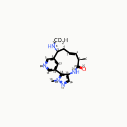 C[C@@H]1/C=C/C[C@H](NC(=O)O)c2cncc(c2)-c2c(cnn2C)NC1=O